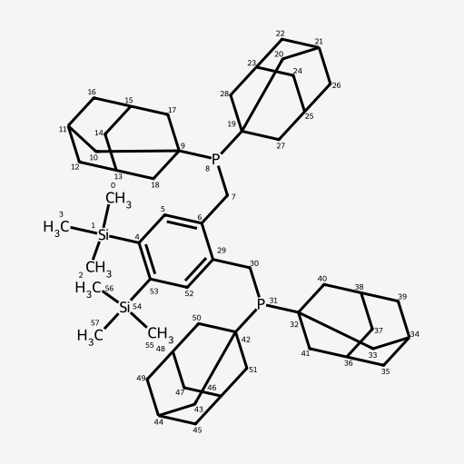 C[Si](C)(C)c1cc(CP(C23CC4CC(CC(C4)C2)C3)C23CC4CC(CC(C4)C2)C3)c(CP(C23CC4CC(CC(C4)C2)C3)C23CC4CC(CC(C4)C2)C3)cc1[Si](C)(C)C